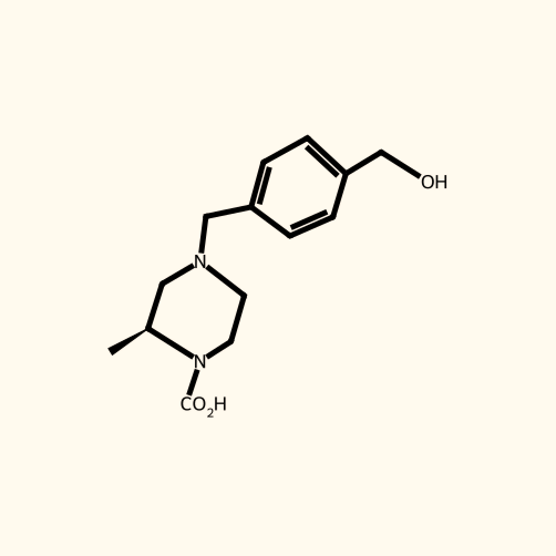 C[C@H]1CN(Cc2ccc(CO)cc2)CCN1C(=O)O